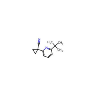 CC(C)(C)c1cccc(C2(C#N)CC2)n1